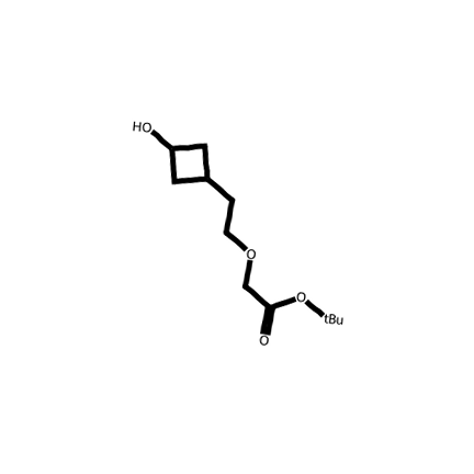 CC(C)(C)OC(=O)COCCC1CC(O)C1